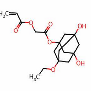 C=CC(=O)OCC(=O)OC12CC3(O)CC(O)(CC(OCC)(C3)C1)C2